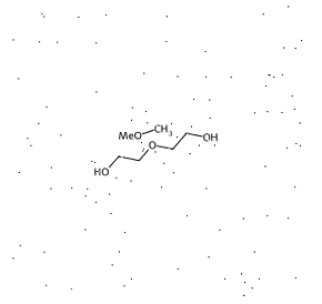 COC.OCCOCCO